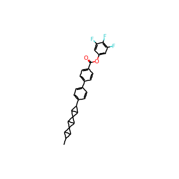 CC1C2C1C21C2C1C21C2C(c3ccc(-c4ccc(C(=O)Oc5cc(F)c(F)c(F)c5)cc4)cc3)C21